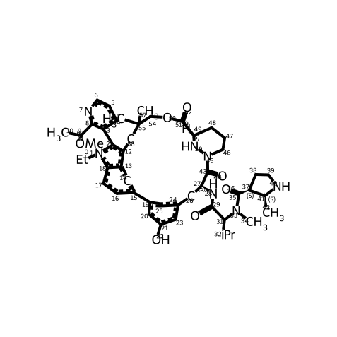 CCn1c(-c2cccnc2[C@H](C)OC)c2c3cc(ccc31)-c1cc(O)cc(c1)C[C@H](NC(=O)C(C(C)C)N(C)C(=O)[C@H]1CCN[C@H]1C)C(=O)N1CCC[C@H](N1)C(=O)OCC(C)(C)C2